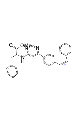 COC(=O)C(Cc1ccccc1)Nc1cc(-c2ccc(/C=C\c3ccccc3)cc2)ncn1